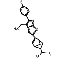 CCc1c(-c2ccc(F)cc2)nc2sc(C3=CC4CC3CC4C(C)C)cn12